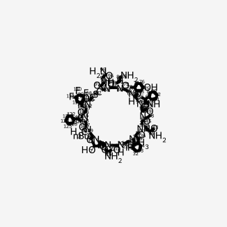 CCCC[C@H]1C(=O)N2C[C@@H](O)C[C@@H]2C(=O)N[C@@H](CC(N)=O)C(=O)N[C@@H](C(C)C)C(=O)N(C)C(Cc2ccccc2)C(=O)N[C@@H](CCC(N)=O)C(=O)N2CCOC[C@@H]2C(=O)N[C@@H](Cc2c[nH]c3ccccc23)C(=O)N[C@@H](Cc2ccc(O)cc2)C(=O)N[C@@H](CCCN)C(=O)N[C@H](C(=O)NCC(N)=O)CSCC(=O)N[C@@H](Cc2cc(F)c(F)c(F)c2)C(=O)N(C)[C@@H](CCc2ccccc2)C(=O)N1C